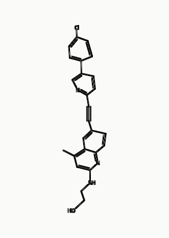 Cc1cc(NCCO)nc2ccc(C#Cc3ccc(-c4ccc(Cl)cc4)cn3)cc12